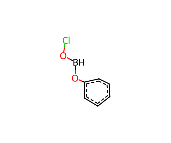 ClOBOc1ccccc1